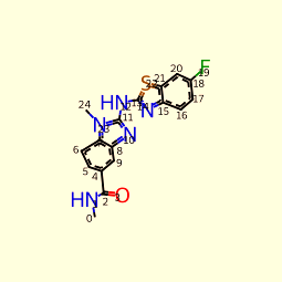 CNC(=O)c1ccc2c(c1)nc(Nc1nc3ccc(F)cc3s1)n2C